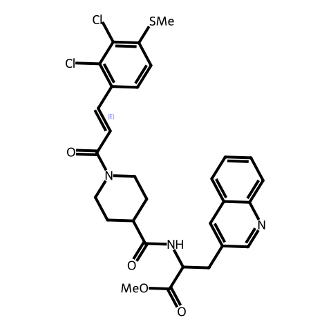 COC(=O)C(Cc1cnc2ccccc2c1)NC(=O)C1CCN(C(=O)/C=C/c2ccc(SC)c(Cl)c2Cl)CC1